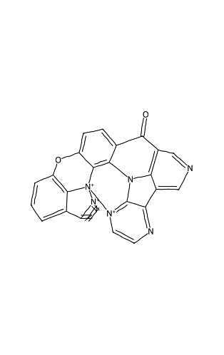 O=c1c2ccc3c4c2n2c5c1cncc5c1ncc[n+](c12)[N+]41c2c(cccc2-c2cccc[n+]21)O3